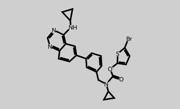 O=C(Oc1ccc(Br)s1)N(Cc1cccc(-c2ccc3ncnc(NC4CC4)c3c2)c1)C1CC1